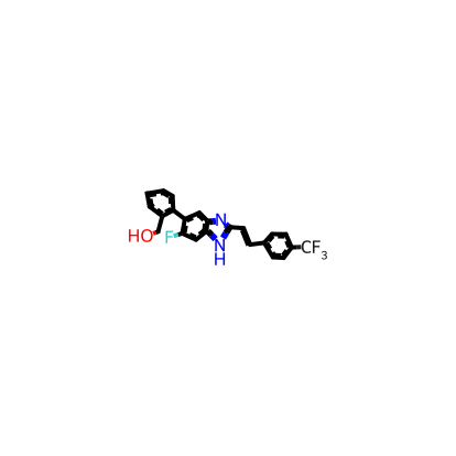 OCc1ccccc1-c1cc2nc(C=Cc3ccc(C(F)(F)F)cc3)[nH]c2cc1F